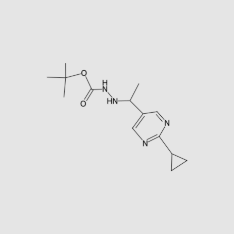 CC(NNC(=O)OC(C)(C)C)c1cnc(C2CC2)nc1